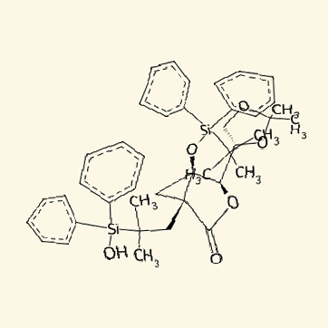 CC1(C)OC[C@@H]([C@H]2OC(=O)[C@]3(CC(C)(C)[Si](O)(c4ccccc4)c4ccccc4)C[C@]23O[Si](c2ccccc2)(c2ccccc2)C(C)(C)C)O1